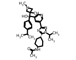 CC(=O)N[C@H]1CC[C@H](c2nc(-c3cncc([C@@](O)(c4ccc(C(C)C)cc4)C4(C)CN(C)C4)c3)nn2C(C)C)CC1